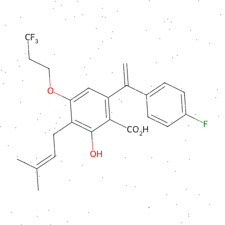 C=C(c1ccc(F)cc1)c1cc(OCCC(F)(F)F)c(CC=C(C)C)c(O)c1C(=O)O